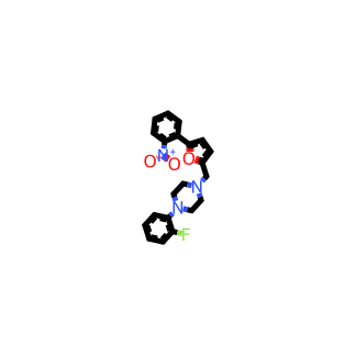 O=[N+]([O-])c1ccccc1-c1ccc(CN2CCN(c3ccccc3F)CC2)o1